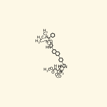 CCCN(Cc1ncc(-c2ccc3cc(-c4ccc(-c5cnc(CN(CC6(C)OCCO6)C(=O)CNC(=O)OC)[nH]5)cc4)ccc3c2)[nH]1)C(=O)[C@@H](c1ccccc1)N(CC)CC